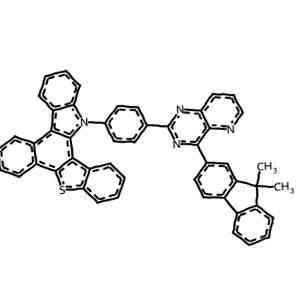 CC1(C)c2ccccc2-c2ccc(-c3nc(-c4ccc(-n5c6ccccc6c6c7ccccc7c7sc8ccccc8c7c65)cc4)nc4cccnc34)cc21